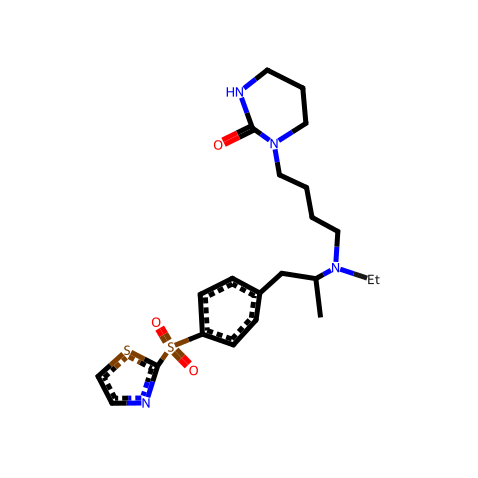 CCN(CCCCN1CCCNC1=O)C(C)Cc1ccc(S(=O)(=O)c2nccs2)cc1